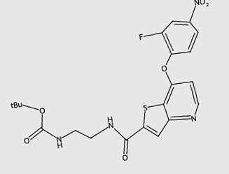 CC(C)(C)OC(=O)NCCNC(=O)c1cc2nccc(Oc3ccc([N+](=O)[O-])cc3F)c2s1